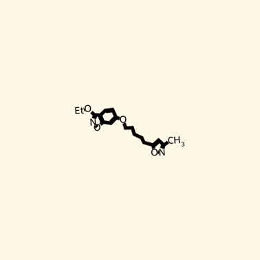 CCOc1noc2cc(OCCCCCc3cc(C)no3)ccc12